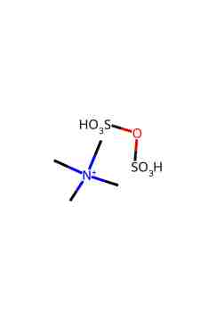 C[N+](C)(C)C.O=S(=O)(O)OS(=O)(=O)O